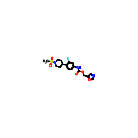 CS(=O)(=O)N1CCC(c2ccc(NC(=O)OCc3cnco3)cc2F)CC1